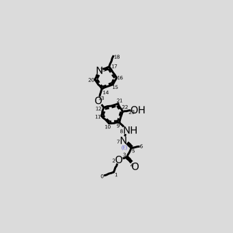 CCOC(=O)/C(C)=N/Nc1ccc(Oc2ccc(C)nc2)cc1O